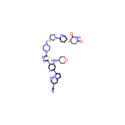 N#Cc1cnn2c(-c3cc(NC4CCOCC4)c(-c4nnc(N5CCN(C[C@@H]6CCN(c7ccc([C@H]8CCC(=O)NC8=O)cn7)C6)CC5)s4)cn3)ccc2c1